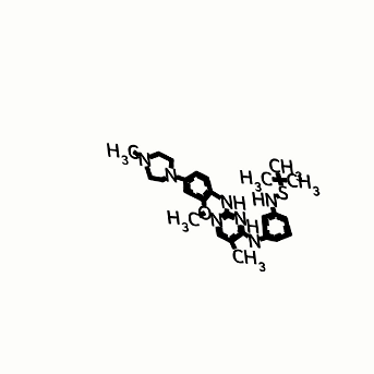 COc1cc(N2CCN(C)CC2)ccc1Nc1ncc(C)c(Nc2cccc(NSC(C)(C)C)c2)n1